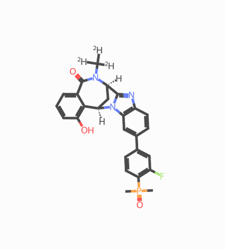 [2H]C([2H])([2H])N1C(=O)c2cccc(O)c2[C@H]2C[C@@H]1c1nc3ccc(-c4ccc(P(C)(C)=O)c(F)c4)cc3n12